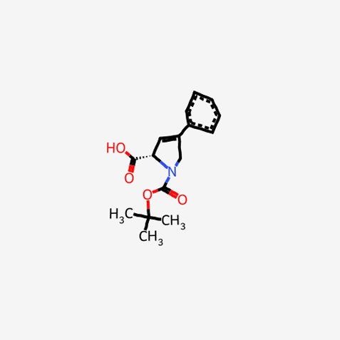 CC(C)(C)OC(=O)N1CC(c2ccccc2)=C[C@H]1C(=O)O